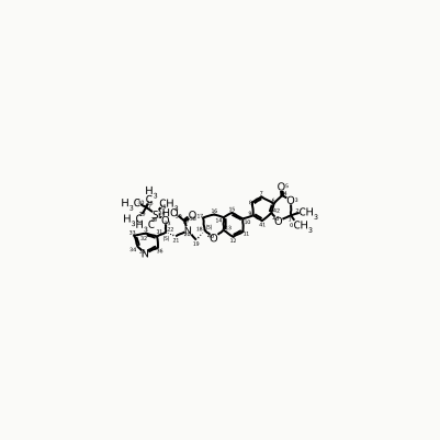 CC1(C)OC(=O)c2ccc(-c3ccc4c(c3)CC[C@@H](CN(C[C@@H](O[Si](C)(C)C(C)(C)C)c3cccnc3)C(=O)O)O4)cc2O1